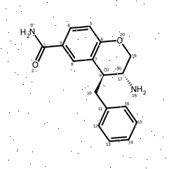 NC(=O)c1ccc2c(c1)[C@H](Cc1ccccc1)[C@@H](N)CO2